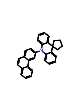 c1ccc2c(c1)N(c1ccc3ccc4ccccc4c3c1)c1ccccc1C21CCCC1